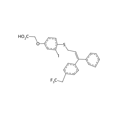 O=C(O)COc1ccc(SCC=C(c2ccccc2)c2ccc(CC(F)(F)F)cc2)c(I)c1